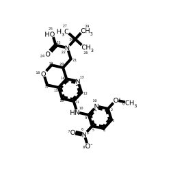 COc1ccc([N+](=O)[O-])c(Nc2cnc3c(c2)COCC3CN(C(=O)O)C(C)(C)C)n1